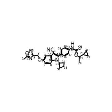 Cc1nc(COc2ccc3c(c2)c(C#N)c(-c2ccc(NC(=O)OC(C)C4CC4)cc2)n3C2CCC2)no1